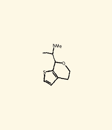 CNC(C)C1OCCc2ccsc21